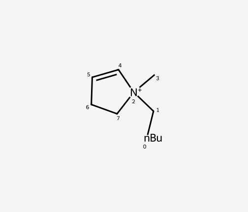 CCCCC[N+]1(C)C=CCC1